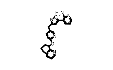 Nc1ncccc1-c1cc(Cc2ccc(OC3CCCc4cccnc43)nc2)no1